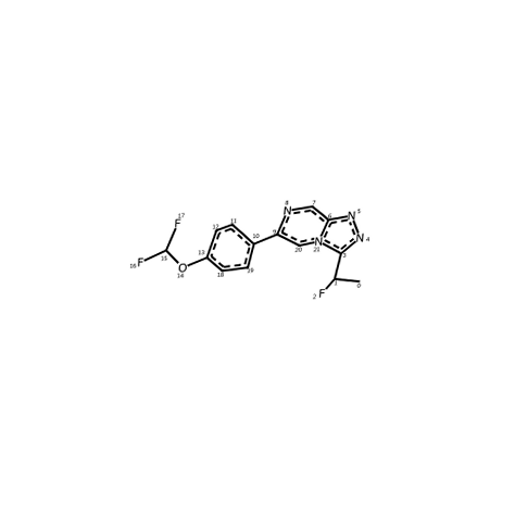 CC(F)c1nnc2cnc(-c3ccc(OC(F)F)cc3)cn12